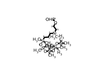 CN(CCC[Si](C)(C)O[Si](C)(C)O[Si](C)(C)O[Si](C)(C)O[Si](C)(C)C)CCO[C]=O